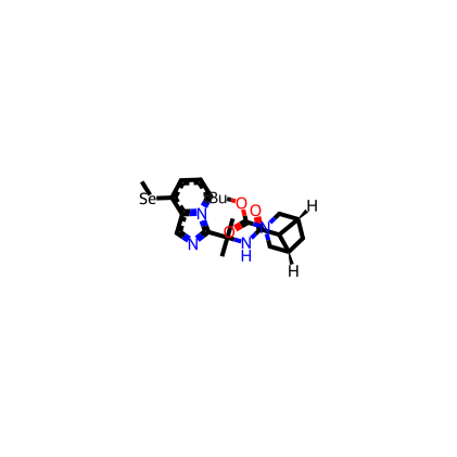 C[Se]c1cccn2c(C(C)(C)NC(=O)C3[C@@H]4C[C@H]3CN(C(=O)OC(C)(C)C)C4)ncc12